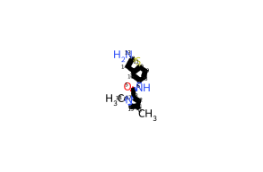 Cc1cc(C(=O)Nc2ccc3sc(N)cc3c2)n(C)c1